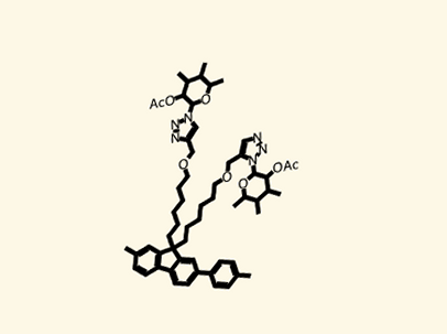 CC(=O)OC1C(C)C(C)C(C)OC1n1cc(COCCCCCCC2(CCCCCCOCc3cnnn3C3OC(C)C(C)C(C)C3OC(C)=O)c3cc(C)ccc3-c3ccc(-c4ccc(C)cc4)cc32)nn1